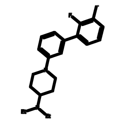 [CH2]c1cccc(-c2cccc(N3CCC(N(CC)CC)CC3)c2)c1F